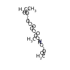 C=CC(=O)OCCc1ccc(/N=N/c2ccc(OC(=O)c3ccc(OC(=O)c4ccc(OCCCCOC(=O)C(C)CC)cc4)cc3)c(C)c2)cc1